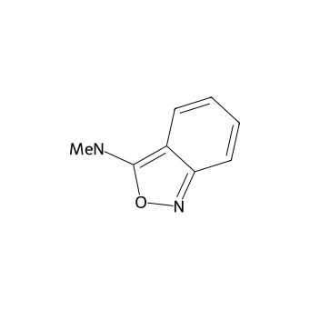 CNc1onc2ccccc12